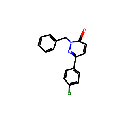 O=c1ccc(-c2ccc(Cl)cc2)nn1Cc1ccccc1